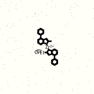 CCC1=Cc2c(-c3ccccc3)cccc2[CH]1[Zr+2][CH]1C(C)=Cc2c(-c3ccccc3)cccc21.[Cl-].[Cl-]